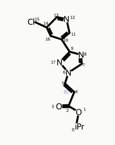 CC(C)OC(=O)/C=C/n1cnc(-c2cncc(Cl)c2)n1